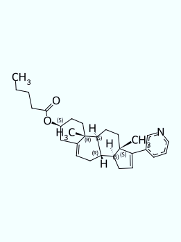 CCCCC(=O)O[C@H]1CC[C@@]2(C)C(=CC[C@@H]3[C@@H]2CC[C@]2(C)C(c4cccnc4)=CC[C@@H]32)C1